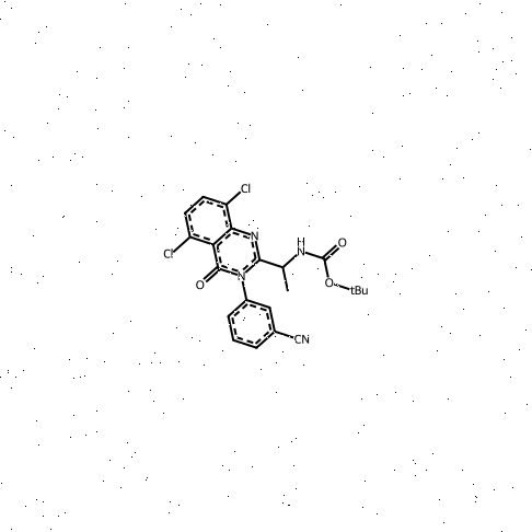 CC(NC(=O)OC(C)(C)C)c1nc2c(Cl)ccc(Cl)c2c(=O)n1-c1cccc(C#N)c1